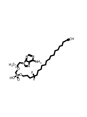 C#CCCCCCCCCCCCCCCC(F)(F)CCCOP(=O)(O)CO[C@H](C)Cn1cnc2c(N)ncnc21